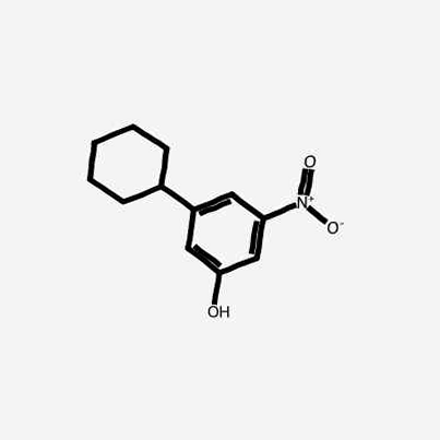 O=[N+]([O-])c1cc(O)cc(C2CCCCC2)c1